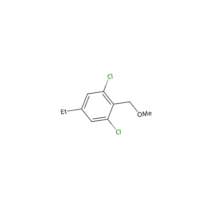 CCc1cc(Cl)c(COC)c(Cl)c1